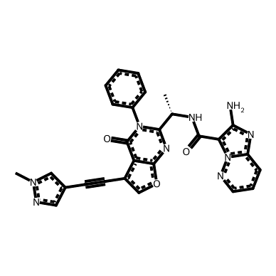 C[C@H](NC(=O)c1c(N)nc2cccnn12)c1nc2occ(C#Cc3cnn(C)c3)c2c(=O)n1-c1ccccc1